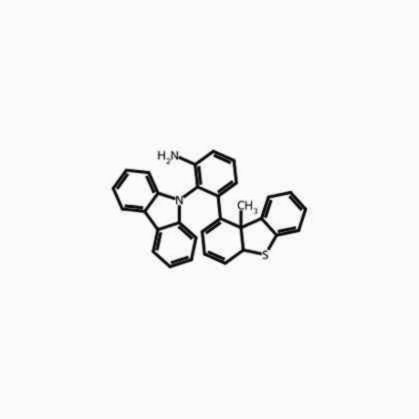 CC12C(c3cccc(N)c3-n3c4ccccc4c4ccccc43)=CC=CC1Sc1ccccc12